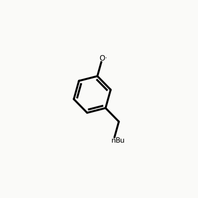 CCCCCc1cccc([O])c1